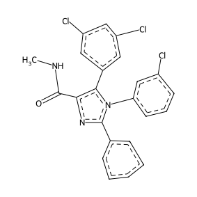 CNC(=O)c1nc(-c2ccccc2)n(-c2cccc(Cl)c2)c1-c1cc(Cl)cc(Cl)c1